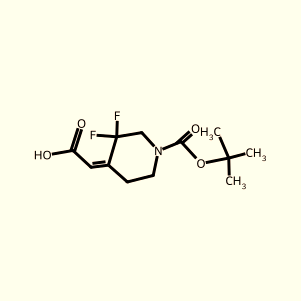 CC(C)(C)OC(=O)N1CCC(=CC(=O)O)C(F)(F)C1